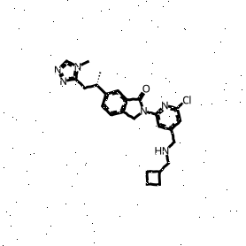 C[C@@H](Cc1nncn1C)c1ccc2c(c1)C(=O)N(c1cc(CNCC3CCC3)cc(Cl)n1)C2